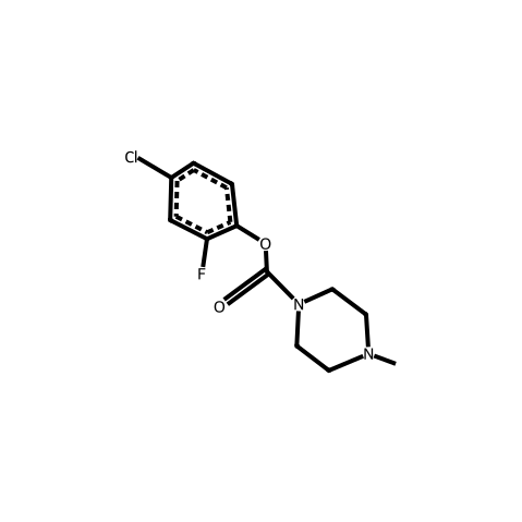 CN1CCN(C(=O)Oc2ccc(Cl)cc2F)CC1